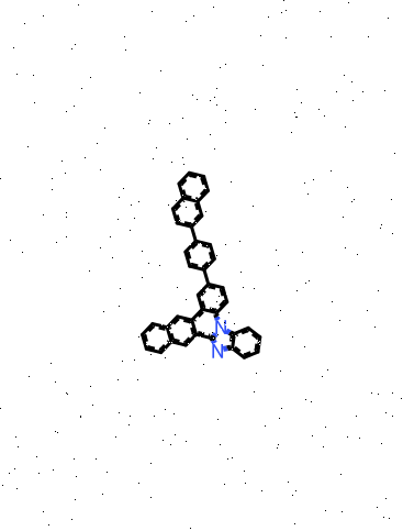 c1ccc2cc(-c3ccc(-c4ccc5c(c4)c4cc6ccccc6cc4c4nc6ccccc6n54)cc3)ccc2c1